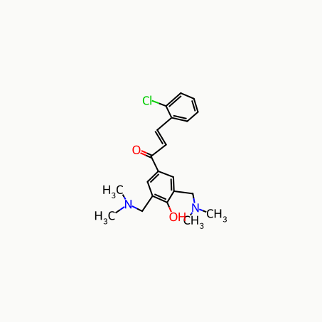 CN(C)Cc1cc(C(=O)/C=C/c2ccccc2Cl)cc(CN(C)C)c1O